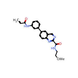 C=CC(=O)Nc1cccc(-c2ccc3nc(C(=O)NCCOC)ncc3c2)c1